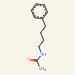 CC(=O)NCCCCc1ccccc1